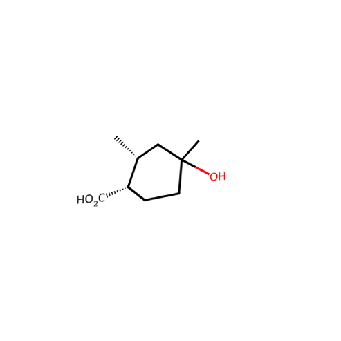 C[C@@H]1CC(C)(O)CC[C@@H]1C(=O)O